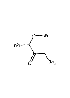 BCC(=O)C(CCC)OCCC